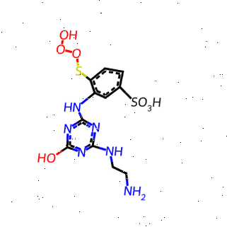 NCCNc1nc(O)nc(Nc2cc(S(=O)(=O)O)ccc2SOOO)n1